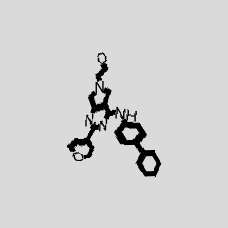 O=CCN1Cc2nc(C3=CCOCC3)nc(Nc3ccc(C4CCCCC4)cc3)c2C1